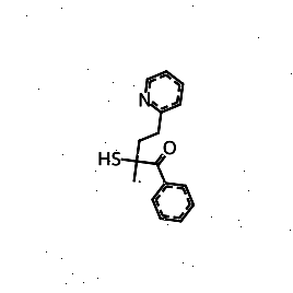 [CH2]C(S)(CCc1ccccn1)C(=O)c1ccccc1